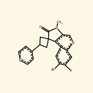 CN1C(=O)C2(CC(c3ccncc3)C2)c2c1cnc1cc(F)c(Br)cc21